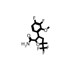 COc1c(C2CC(C)(C(F)(F)F)OC2C(N)=O)ccc(F)c1F